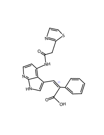 O=C(Cc1nccs1)Nc1ccnc2[nH]cc(/C=C(\C(=O)O)c3ccccc3)c12